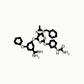 Cc1nc2c(Oc3cc(Oc4ccccc4)cc(C(=N)N)c3)nc(Oc3cccc(NC(N)=O)c3)nc2n1Cc1ccccc1